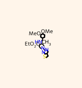 CCOC(=O)C1(NCc2ccc(OC)c(OC)c2)CCN(c2ncc3ccsc3n2)CC1C